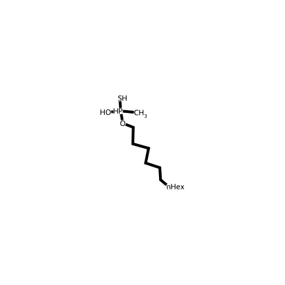 CCCCCCCCCCCCO[PH](C)(O)S